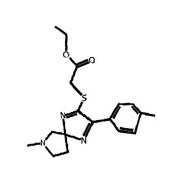 CCOC(=O)CSC1=NC2(CCN(C)C2)N=C1c1ccc(C)cc1